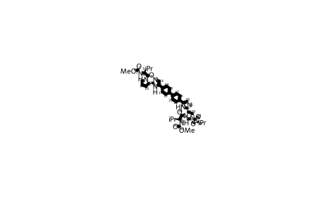 COC(=O)N[C@H](C(=O)N1CC=C[C@H]1c1ncc(-c2ccc(-c3ccc(-c4cnc([C@@H]5CN(S(=O)(=O)C(C)C)CN5C(=O)[C@@H](NC(=O)OC)C(C)C)[nH]4)cc3)cc2)[nH]1)C(C)C